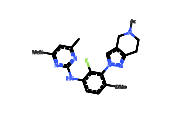 CNc1cc(C)nc(Nc2ccc(OC)c(-n3cc4c(n3)CCN(C(C)=O)C4)c2F)n1